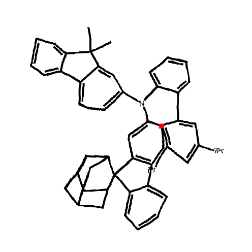 CC(C)c1cc(-c2ccccc2N(C2=CC3=C(CC2)c2ccccc2C32C3CC4CC(C3)CC2C4)c2ccc3c(c2)C(C)(C)c2ccccc2-3)cc(C(C)C)c1